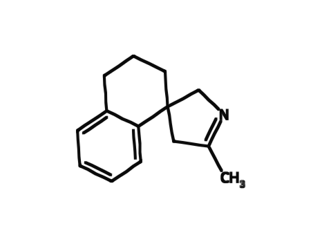 CC1=NCC2(CCCc3ccccc32)C1